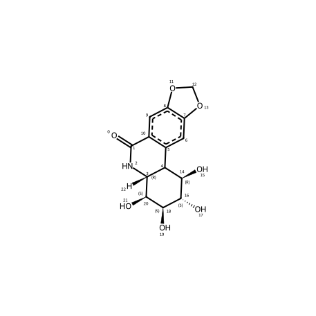 O=C1N[C@@H]2C(c3cc4c(cc31)OCO4)[C@@H](O)[C@H](O)[C@@H](O)[C@H]2O